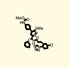 COC(=O)Nc1ccc(-c2cc(C(Cc3ccccc3)NC(=O)C=Cc3cc(Cl)ccc3-n3cnnn3)nnc2SC)cc1